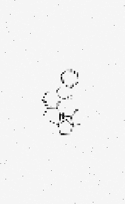 Cc1ccc2c(oc3ccccc32)c1N1[C@@H](C)C2(C)CCC1(C)C2